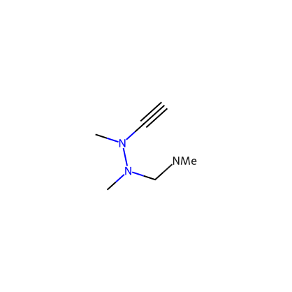 C#CN(C)N(C)CNC